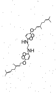 CC(C)=CCC/C(C)=C/COC(=O)/C=C\C(=O)NCCNC(=O)/C=C\C(=O)OC/C=C(\C)CCC=C(C)C